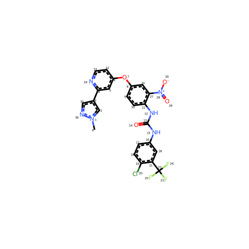 Cn1cc(-c2cc(Oc3ccc(NC(=O)Nc4ccc(Cl)c(C(F)(F)F)c4)c([N+](=O)[O-])c3)ccn2)cn1